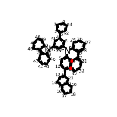 c1ccc(-c2cc(N(c3ccc(-c4ccc5ccccc5c4)cc3)c3ccccc3-c3ccccc3)cc(-n3c4ccccc4c4ccccc43)c2)cc1